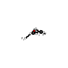 CS(=O)(=O)N1C(=O)C=C(c2ccc(OC(F)F)cc2)CC1(c1ccc(OCCCCCC(F)(F)F)cc1)C(F)(F)F